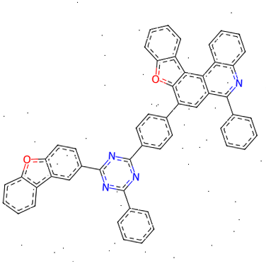 c1ccc(-c2nc(-c3ccc(-c4cc5c(-c6ccccc6)nc6ccccc6c5c5c4oc4ccccc45)cc3)nc(-c3ccc4oc5ccccc5c4c3)n2)cc1